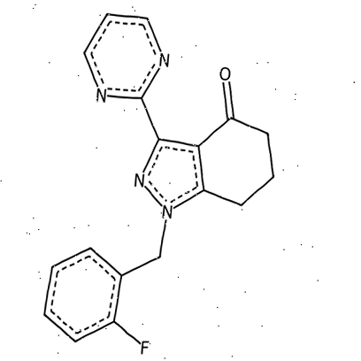 O=C1CCCc2c1c(-c1ncccn1)nn2Cc1ccccc1F